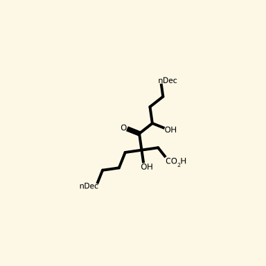 CCCCCCCCCCCCCC(O)(CC(=O)O)C(=O)C(O)CCCCCCCCCCCC